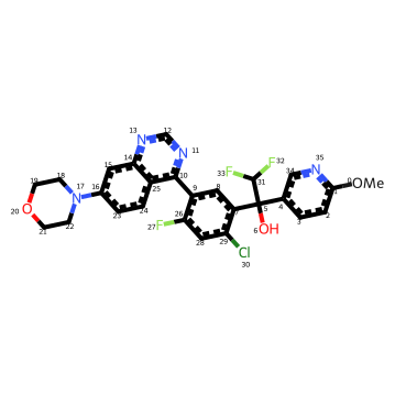 COc1ccc(C(O)(c2cc(-c3ncnc4cc(N5CCOCC5)ccc34)c(F)cc2Cl)C(F)F)cn1